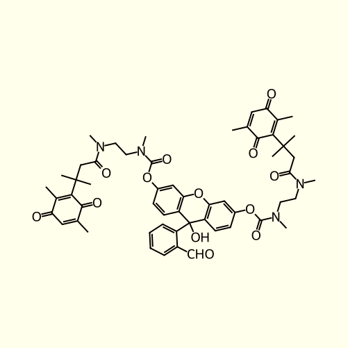 CC1=CC(=O)C(C)=C(C(C)(C)CC(=O)N(C)CCN(C)C(=O)Oc2ccc3c(c2)Oc2cc(OC(=O)N(C)CCN(C)C(=O)CC(C)(C)C4=C(C)C(=O)C=C(C)C4=O)ccc2C3(O)c2ccccc2C=O)C1=O